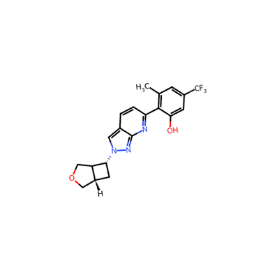 Cc1cc(C(F)(F)F)cc(O)c1-c1ccc2cn([C@@H]3C[C@@H]4COCC43)nc2n1